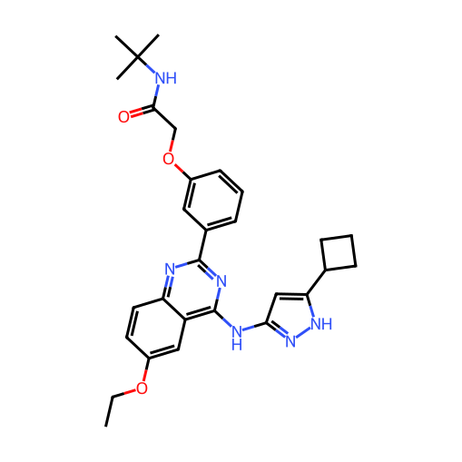 CCOc1ccc2nc(-c3cccc(OCC(=O)NC(C)(C)C)c3)nc(Nc3cc(C4CCC4)[nH]n3)c2c1